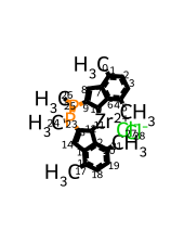 Cc1ccc(C)c2c1C=C1[CH]2[Zr+2][CH]2C(=Cc3c(C)ccc(C)c32)P(C)P1C.[Cl-].[Cl-]